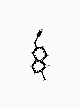 Cc1ccc2cc(CC#N)ccc2n1